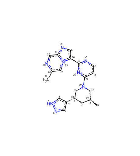 C[C@H]1C[C@H](c2cn[nH]c2)CN(c2ccnc(-c3cnc4cnc(C(F)(F)F)cn34)n2)C1